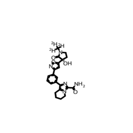 [2H]C([2H])([2H])N1CC[C@@](O)(c2cc(-c3cccc(-c4nc(C(N)=O)n5c4CCCC5)c3)no2)C1=O